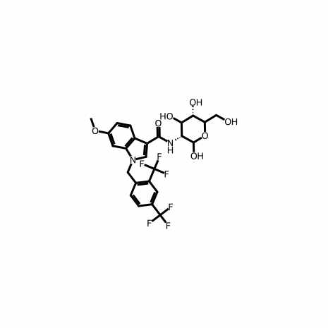 COc1ccc2c(C(=O)N[C@H]3C(O)OC(CO)[C@@H](O)C3O)cn(Cc3ccc(C(F)(F)F)cc3C(F)(F)F)c2c1